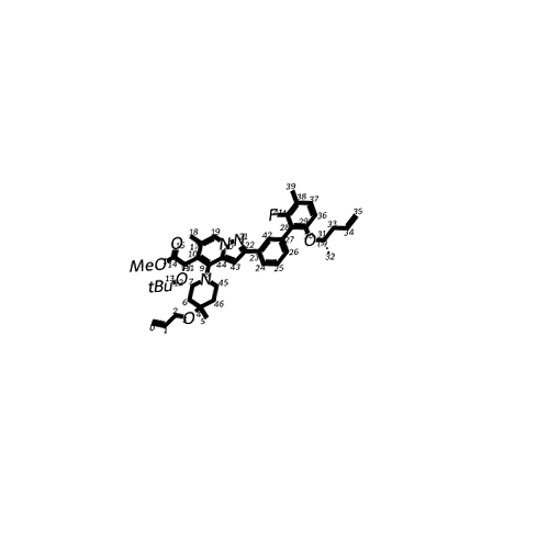 C=CCOC1(C)CCN(c2c([C@H](OC(C)(C)C)C(=O)OC)c(C)cn3nc(-c4cccc(-c5c(O[C@@H](C)CC=C)ccc(C)c5F)c4)cc23)CC1